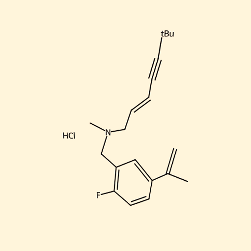 C=C(C)c1ccc(F)c(CN(C)C/C=C/C#CC(C)(C)C)c1.Cl